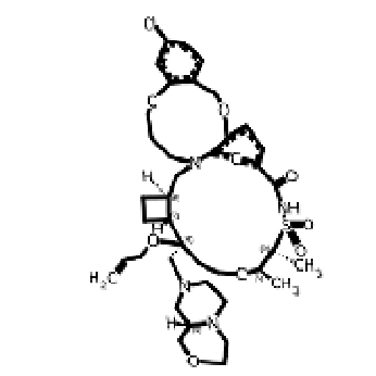 C=CCO[C@]1(CN2CCN3CCOC[C@@H]3C2)CCC[C@H](C)[C@@H](C)S(=O)(=O)NC(=O)c2ccc3c(c2)N(CCCCc2cc(Cl)ccc2CO3)C[C@@H]2CC[C@H]21